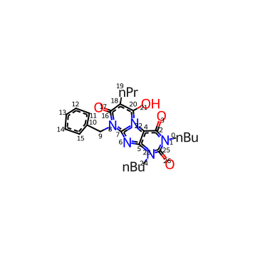 CCCCn1c(=O)c2c(nc3n(Cc4ccccc4)c(=O)c(CCC)c(O)n23)n(CCCC)c1=O